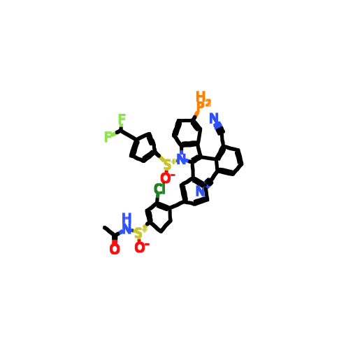 CC(=O)N[S+]([O-])C1=CC(Cl)=C(c2cccc(-c3c(-c4c(C#N)cccc4C#N)c4cc(P)ccc4n3[S+]([O-])c3ccc(C(F)F)cc3)c2)CC1